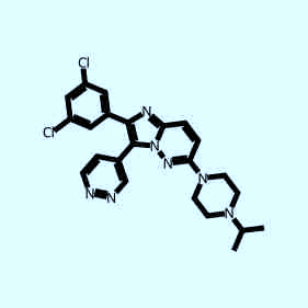 CC(C)N1CCN(c2ccc3nc(-c4cc(Cl)cc(Cl)c4)c(-c4ccnnc4)n3n2)CC1